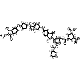 CC1C(=O)c2ccc(Oc3ccc(C(C)(C)c4ccc(Oc5ccc6c(c5)C(=O)N(c5nc(OC(=O)c7ccccc7)nc(OC(=O)c7cc([N+](=O)[O-])cc([N+](=O)[O-])c7)n5)C6=O)cc4)cc3)cc2C1=O